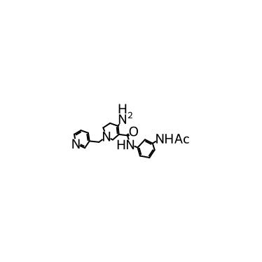 CC(=O)Nc1cccc(NC(=O)C2=C(N)CCN(Cc3cccnc3)C2)c1